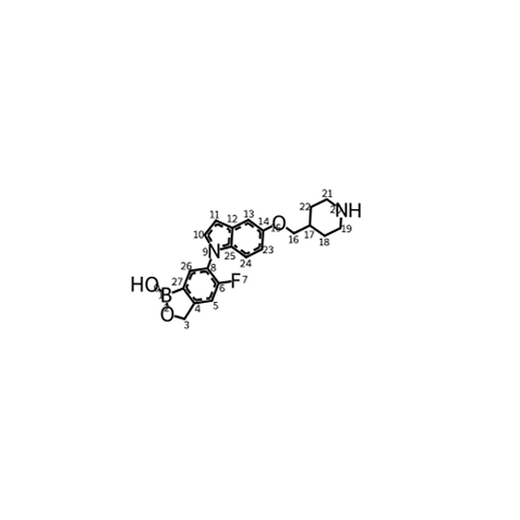 OB1OCc2cc(F)c(-n3ccc4cc(OCC5CCNCC5)ccc43)cc21